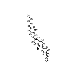 C=CCOc1ccc(-c2ccc3cc(CCC4CCC(CCCCC)CC4)ccc3c2F)cc1